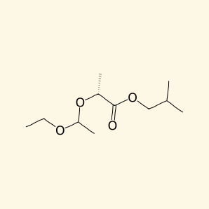 CCOC(C)O[C@H](C)C(=O)OCC(C)C